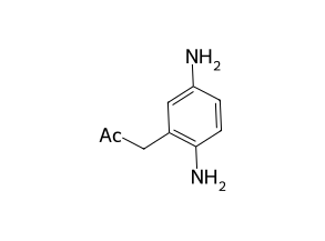 CC(=O)Cc1cc(N)ccc1N